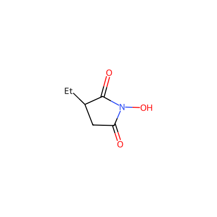 CCC1CC(=O)N(O)C1=O